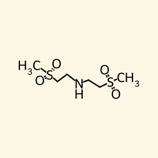 CS(=O)(=O)CCNCCS(C)(=O)=O